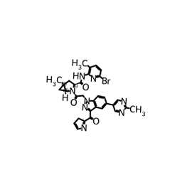 Cc1ncc(-c2ccc3c(c2)c(C(=O)C2=NC=CC2)nn3CC(=O)N2[C@H](C(=O)Nc3nc(Br)ccc3C)C[C@@]3(C)C[C@@H]23)cn1